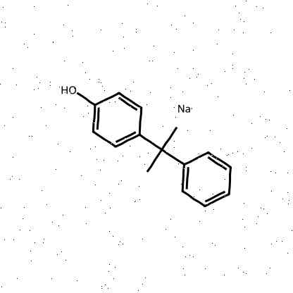 CC(C)(c1ccccc1)c1ccc(O)cc1.[Na]